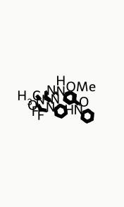 COc1cc(C(=O)NC2CCCCC2)ccc1Nc1ncc2c(n1)N(C1CCCCC1)CC(F)(F)C(=O)N2C